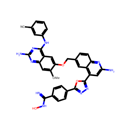 COc1cc2nc(N)nc(Nc3cccc(C#N)c3)c2cc1OCc1ccc2nc(N)cc(-c3nnc(-c4ccc(C(=N)NO)cc4)o3)c2c1